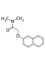 CN(C)C(=O)COc1ccc2ccccc2c1